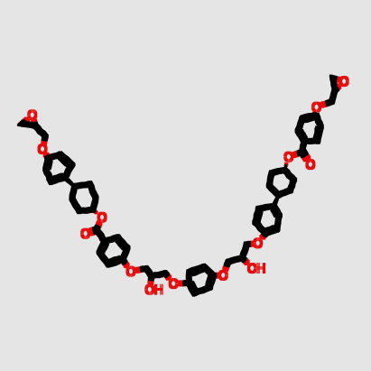 O=C(O[C@H]1CC[C@H](c2ccc(OCC(O)COc3ccc(OCC(O)COc4ccc(C(=O)O[C@H]5CC[C@H](c6ccc(OCC7CO7)cc6)CC5)cc4)cc3)cc2)CC1)c1ccc(OCC2CO2)cc1